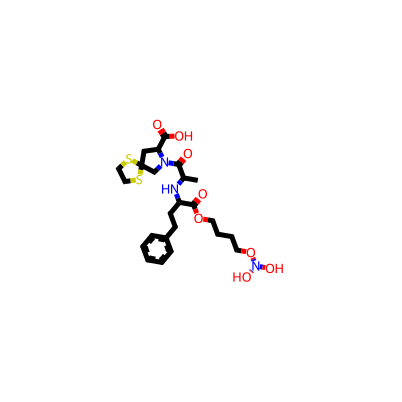 CC(NC(CCc1ccccc1)C(=O)OCCCCON(O)O)C(=O)N1CC2(CC1C(=O)O)SCCS2